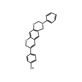 Oc1ccc(C2=Cc3cc4c(cc3OC2)OCN(c2ccccc2)C4)cc1